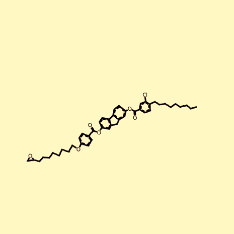 CCCCCCCCCc1ccc(C(=O)Oc2ccc3c(c2)Cc2cc(OC(=O)c4ccc(OCCCCCCCCC5CO5)cc4)ccc2-3)cc1Cl